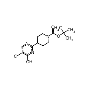 CC(C)(C)OC(=O)N1CCC(c2ncc(Cl)c(O)n2)CC1